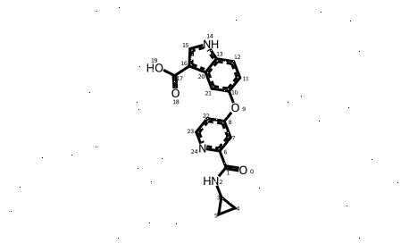 O=C(NC1CC1)c1cc(Oc2ccc3[nH]cc(C(=O)O)c3c2)ccn1